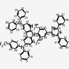 Cc1ccc(N(c2ccccc2)c2ccc3c(c2)c2cc(N(c4ccccc4)c4ccccc4)ccc2n3-c2c(C)cc(-c3nc(-c4ccccc4)nc(-c4ccccc4)n3)cc2C)cc1